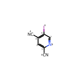 N#Cc1cc(C#N)c(I)cn1